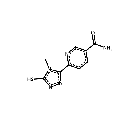 Cn1c(S)nnc1-c1ccc(C(N)=O)cn1